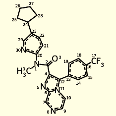 CN(C(=O)c1nc2cnccn2c1-c1ccc(C(F)(F)F)cc1)c1ccc(C2CCCC2)cn1